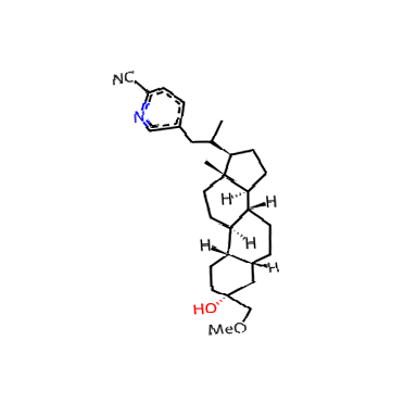 COC[C@@]1(O)CC[C@H]2[C@H](CC[C@@H]3[C@@H]2CC[C@]2(C)[C@@H](C(C)Cc4ccc(C#N)nc4)CC[C@@H]32)C1